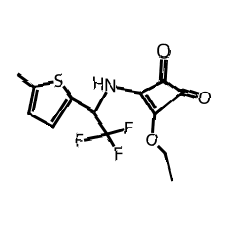 CCOc1c(NC(c2ccc(C)s2)C(F)(F)F)c(=O)c1=O